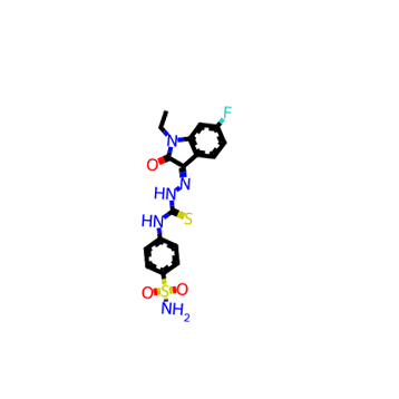 CCN1C(=O)C(=NNC(=S)Nc2ccc(S(N)(=O)=O)cc2)c2ccc(F)cc21